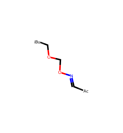 CCC(C)COCO/N=C/C(C)=O